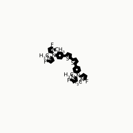 Cn1c(F)ccc1N(c1ccc(-c2ccc(-c3ccc(-c4ccc(N(c5ccc(F)n5C)c5ccc(F)n5C)cc4)s3)s2)cc1)c1ccc(F)n1C